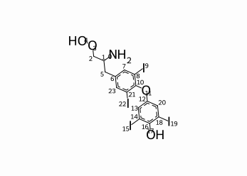 NC(COO)Cc1cc(I)c(Oc2cc(I)c(O)c(I)c2)c(I)c1